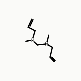 C=CCN(C)CN(C)CC=C